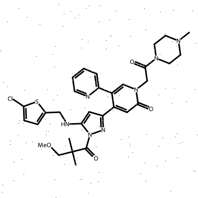 COCC(C)(C)C(=O)n1nc(-c2cc(=O)n(CC(=O)N3CCN(C)CC3)cc2-c2ccccn2)cc1NCc1ccc(Cl)s1